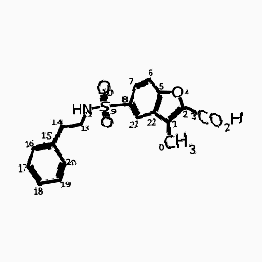 Cc1c(C(=O)O)oc2ccc(S(=O)(=O)NCCc3ccccc3)cc12